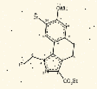 CCOC(=O)c1nn(CC(C)C)c2c1CCc1cc(OC)c(Br)cc1-2